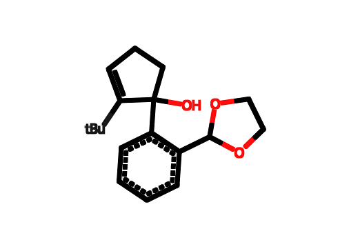 CC(C)(C)C1=CCCC1(O)c1ccccc1C1OCCO1